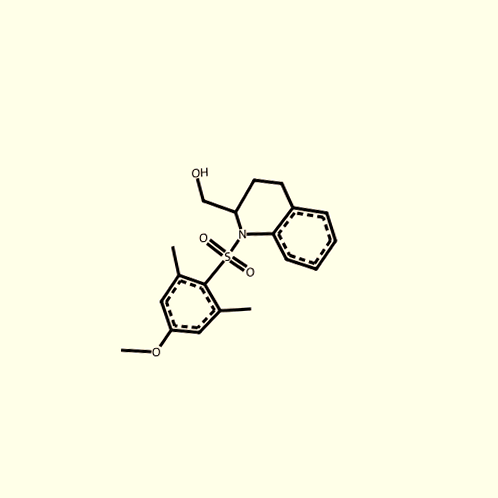 COc1cc(C)c(S(=O)(=O)N2c3ccccc3CCC2CO)c(C)c1